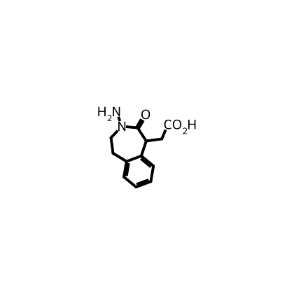 NN1CCc2ccccc2C(CC(=O)O)C1=O